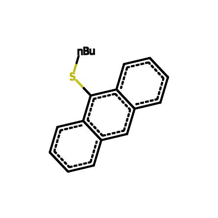 CCCCSc1c2ccccc2cc2ccccc12